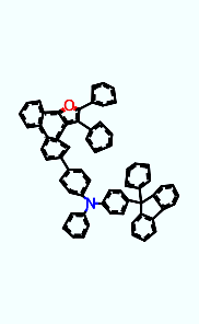 c1ccc(-c2oc3c4ccccc4c4ccc(-c5ccc(N(c6ccccc6)c6ccc(C7(c8ccccc8)c8ccccc8-c8ccccc87)cc6)cc5)cc4c3c2-c2ccccc2)cc1